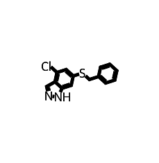 Clc1cc(SCc2ccccc2)cc2[nH]ncc12